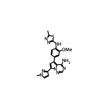 COc1cc(-c2cc(-c3ccn(C)n3)n3ncnc(N)c23)ccc1Nc1nnc(C)s1